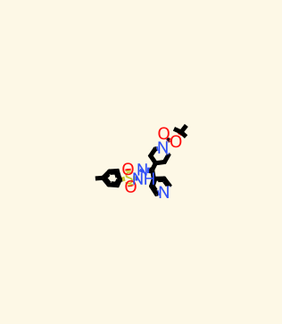 Cc1ccc(S(=O)(=O)NN=C(c2ccncc2)C2CCN(C(=O)OC(C)(C)C)CC2)cc1